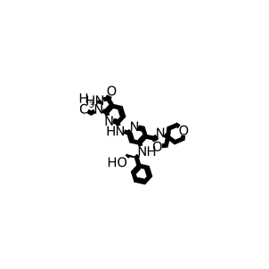 CCn1[nH]c(=O)c2ccc(Nc3cc(N[C@H](CO)c4ccccc4)c(C4=NC5(CCOCC5)CO4)cn3)nc21